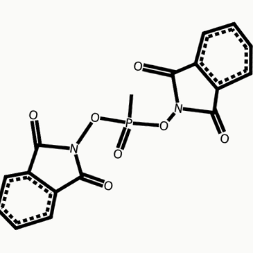 CP(=O)(ON1C(=O)c2ccccc2C1=O)ON1C(=O)c2ccccc2C1=O